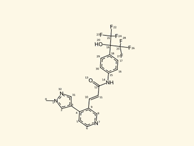 Cn1cc(-c2ccncc2/C=C/C(=O)Nc2ccc(C(O)(C(F)(F)F)C(F)(F)F)cc2)cn1